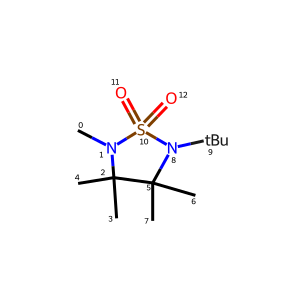 CN1C(C)(C)C(C)(C)N(C(C)(C)C)S1(=O)=O